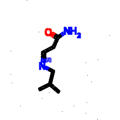 CC(C)C/N=C\CC(N)=O